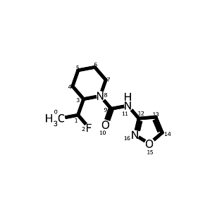 CC(F)C1CCCCN1C(=O)Nc1ccon1